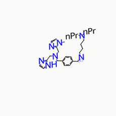 CCCN(CCC)CCCC/N=C\c1ccc(CN(Cc2ncc[nH]2)Cc2nccn2C)cc1